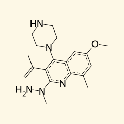 C=C(C)c1c(N(C)N)nc2c(C)cc(OC)cc2c1N1CCNCC1